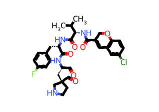 CC(C)[C@H](NC(=O)C1=Cc2cc(Cl)ccc2OC1)C(=O)N[C@@H](Cc1ccc(F)cc1)C(=O)N[C@H](C=O)C[C@@]1(C=O)CCNC1